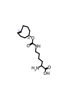 NC(CCCCNC(=O)O[C@H]1CC/C=C/CCC1)C(=O)O